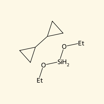 C1CC1C1CC1.CCO[SiH2]OCC